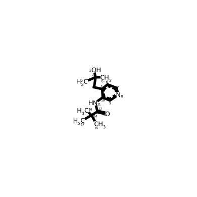 CC(C)(O)Cc1ccncc1NC(=O)C(C)(C)C